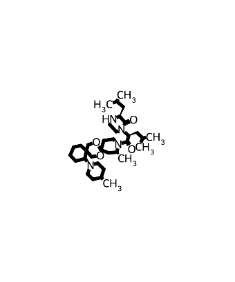 CC(C)C[C@@H]1NCCN([C@@H](CC(C)C)C(=O)N2CCC3(C[C@@H]2C)OCC2(CCCCC2N2CCC(C)CC2)CO3)C1=O